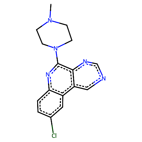 CN1CCN(c2nc3ccc(Cl)cc3c3cncnc23)CC1